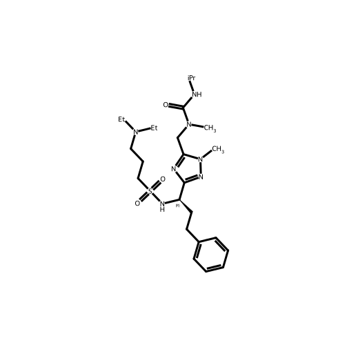 CCN(CC)CCCS(=O)(=O)N[C@H](CCc1ccccc1)c1nc(CN(C)C(=O)NC(C)C)n(C)n1